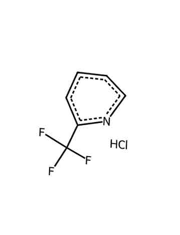 Cl.FC(F)(F)c1ccccn1